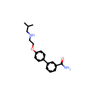 CC(C)CNCCOc1ccc(-c2cccc(C(N)=O)c2)cc1